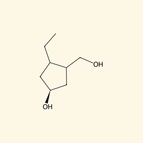 CCC1C[C@H](O)CC1CO